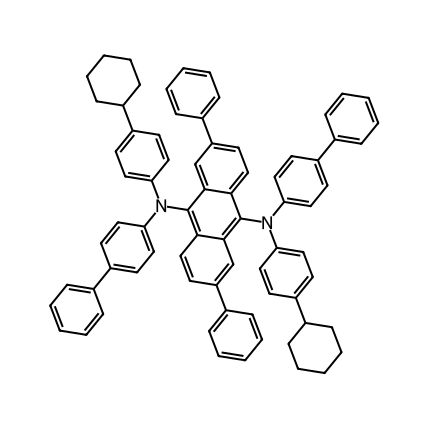 c1ccc(-c2ccc(N(c3ccc(C4CCCCC4)cc3)c3c4ccc(-c5ccccc5)cc4c(N(c4ccc(-c5ccccc5)cc4)c4ccc(C5CCCCC5)cc4)c4ccc(-c5ccccc5)cc34)cc2)cc1